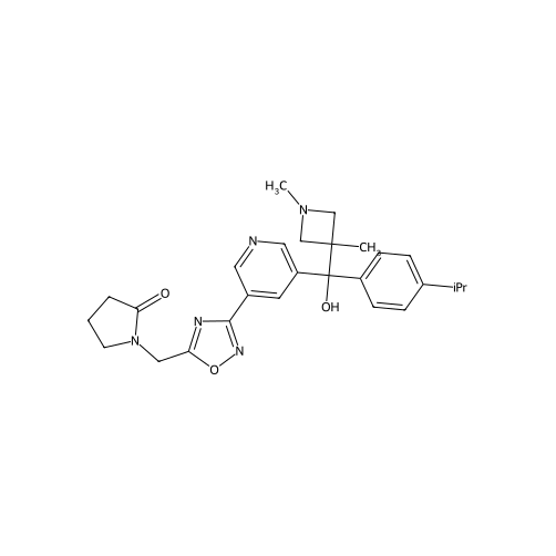 CC(C)c1ccc(C(O)(c2cncc(-c3noc(CN4CCCC4=O)n3)c2)C2(C)CN(C)C2)cc1